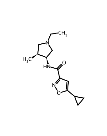 CCN1C[C@H](C)[C@H](NC(=O)c2cc(C3CC3)on2)C1